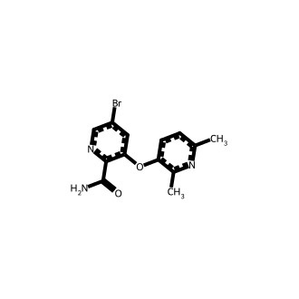 Cc1ccc(Oc2cc(Br)cnc2C(N)=O)c(C)n1